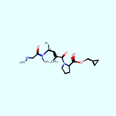 C/C(=C\[C@H](C(C)C)N(C)C(=O)CNC=O)C(=O)N1CCCC1C(=O)OCC1CC1